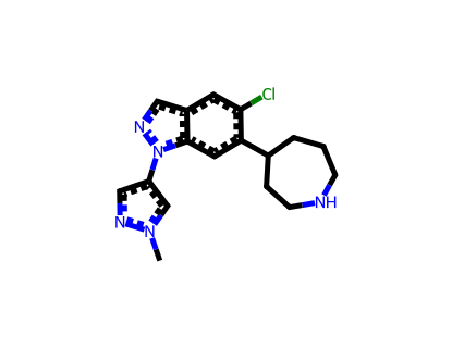 Cn1cc(-n2ncc3cc(Cl)c(C4CCCNCC4)cc32)cn1